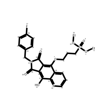 CCOP(=O)(CCCOc1c2c(c(O)c3ncccc13)C(=O)N(Cc1ccc(F)cc1)C2=O)OCC